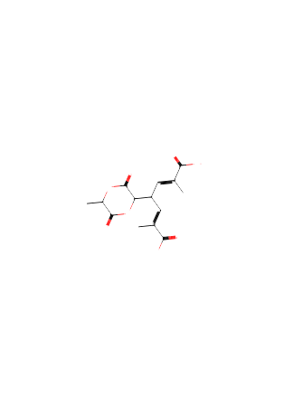 CC(=CC(C=C(C)C(=O)O)C1OC(=O)C(C)OC1=O)C(=O)O